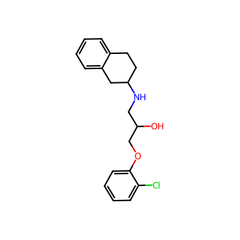 OC(CNC1CCc2ccccc2C1)COc1ccccc1Cl